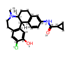 CN1CCc2cc(Cl)c(O)cc2[C@H]2c3ccc(NC(=O)C4CC4)cc3CC[C@@H]21